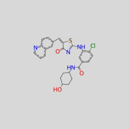 O=C1N=C(Nc2cc(C(=O)NC3CCC(O)CC3)ccc2Cl)SC1=Cc1ccc2ncccc2c1